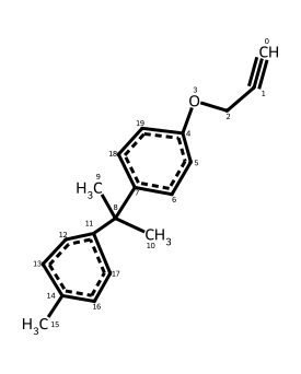 C#CCOc1ccc(C(C)(C)c2ccc(C)cc2)cc1